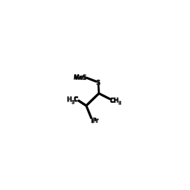 CSSC(C)C(C)C(C)C